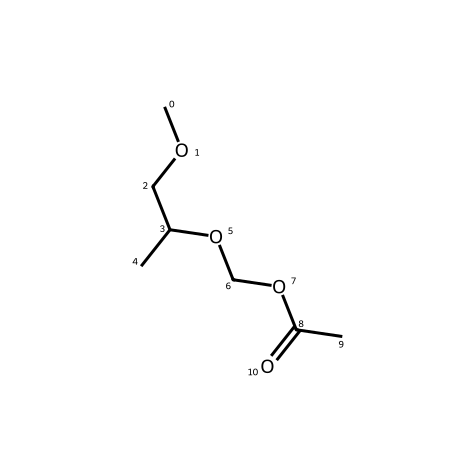 COCC(C)OCOC(C)=O